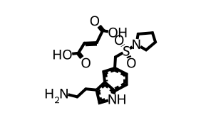 NCCc1c[nH]c2ccc(CS(=O)(=O)N3CCCC3)cc12.O=C(O)/C=C/C(=O)O